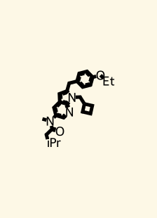 CCOc1ccc(Cc2cc3cc(N(C)C(=O)CC(C)C)cnc3n2CC2CCC2)cc1